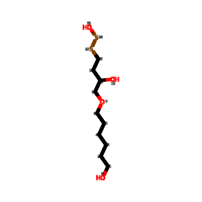 OCCCCCCOCC(O)CCSSO